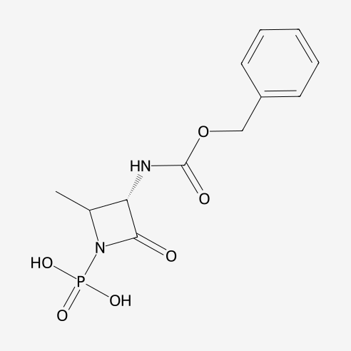 CC1[C@H](NC(=O)OCc2ccccc2)C(=O)N1P(=O)(O)O